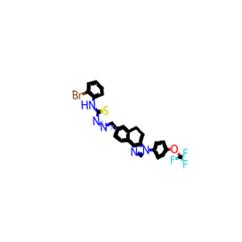 FC(F)(F)Oc1ccc(-n2cnc3c2=CCc2c/c(=C/N=N\C(=S)Nc4ccccc4Br)ccc2=3)cc1